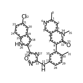 Cc1cc2c(cn1)cc(-c1cc(Nc3noc(-c4cc5cc(Cl)ccc5[nH]4)n3)ccc1C)c(=O)n2C